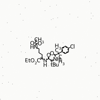 CCOC(=O)[C@@H](CCCNS(C)(=O)=O)NC(=O)[C@@H](NC(=O)C(C)(C)c1ccc(Cl)cc1)C(C)(C)C